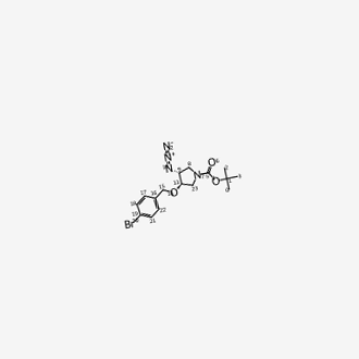 CC(C)(C)OC(=O)N1C[C@@H](N=[N+]=[N-])[C@H](OCc2ccc(Br)cc2)C1